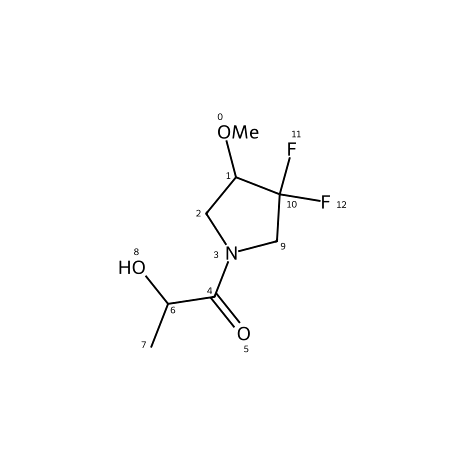 COC1CN(C(=O)C(C)O)CC1(F)F